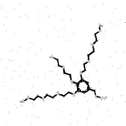 CC(C)(C)OCCOCCOCCOc1cc(COC(=O)O)cc(OCCOCCOCCOC(C)(C)C)c1OCCOCCO